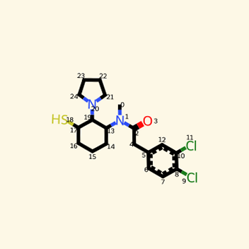 CN(C(=O)Cc1ccc(Cl)c(Cl)c1)C1CCCC(S)C1N1CCCC1